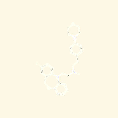 CN(CCc1ccc(N2CCOCC2)cc1)CCN1c2ccc(F)cc2COc2ccccc21